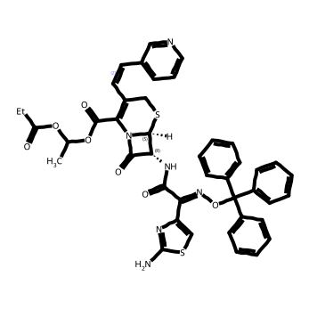 CCC(=O)OC(C)OC(=O)C1=C(/C=C\c2cccnc2)CS[C@H]2[C@H](NC(=O)C(=NOC(c3ccccc3)(c3ccccc3)c3ccccc3)c3csc(N)n3)C(=O)N12